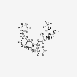 CC(C)(C)OC[C@H](CO)NC(=O)CC[C@@H](C1CCCCC1)N1Cc2cc(Oc3ccccc3)ccc2N=C1N